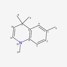 Cc1ccc2c(c1)C(C)(C)C=CN2C